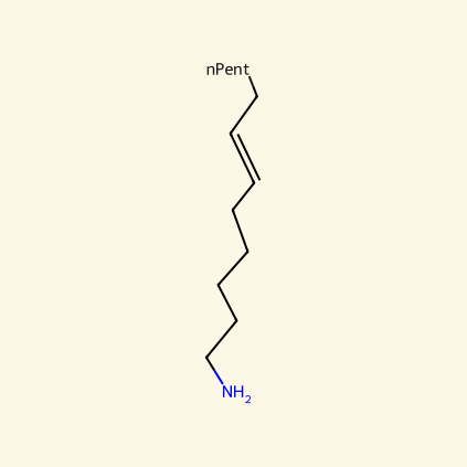 CCCCCCC=CCCCCCN